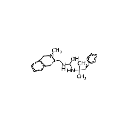 CN1Cc2ccccc2CC1CNC(O)NC(C)(C)Cc1ccsc1